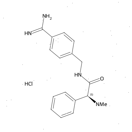 CN[C@H](C(=O)NCc1ccc(C(=N)N)cc1)c1ccccc1.Cl